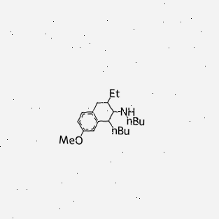 CCCCNC1C(CC)Cc2ccc(OC)cc2C1CCCC